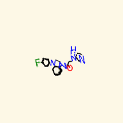 CN1CCC(NCCC(=O)N2CCN(c3ccc(F)cc3)c3ccccc32)C1